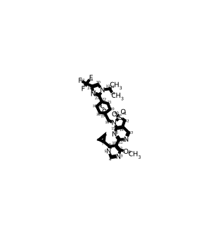 COc1ncnc(C2CC2)c1-c1ncc2c(n1)N(CC13CCC(c4nc(C(F)(F)F)cn4C(C)C)(CC1)CC3)S(=O)(=O)C2